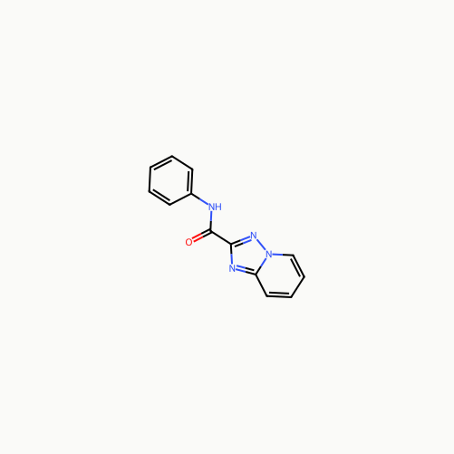 O=C(Nc1ccccc1)c1nc2ccccn2n1